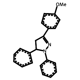 COc1ccc(C2=NN(c3ccccc3)C(c3ccccc3)C2)cc1